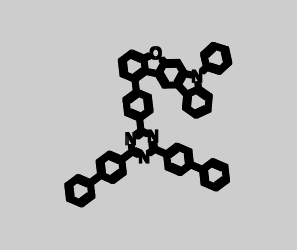 c1ccc(-c2ccc(-c3nc(-c4ccc(-c5ccccc5)cc4)nc(-c4ccc(-c5cccc6oc7cc8c(cc7c56)c5ccccc5n8-c5ccccc5)cc4)n3)cc2)cc1